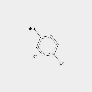 CCCCc1ccc([O-])cc1.[K+]